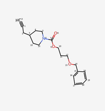 C#CCC1CCN(C(=O)OCCCOCc2ccccc2)CC1